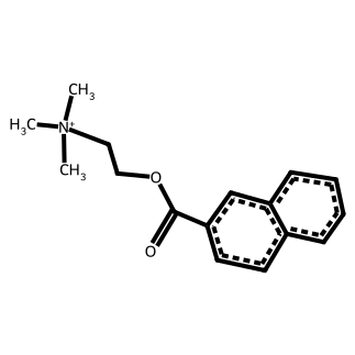 C[N+](C)(C)CCOC(=O)c1ccc2ccccc2c1